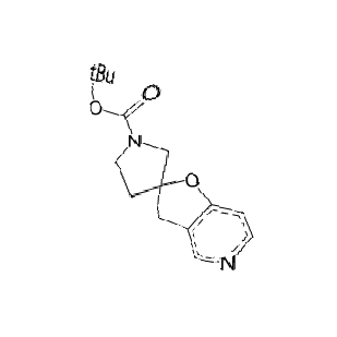 CC(C)(C)OC(=O)N1CCC2(Cc3cnccc3O2)C1